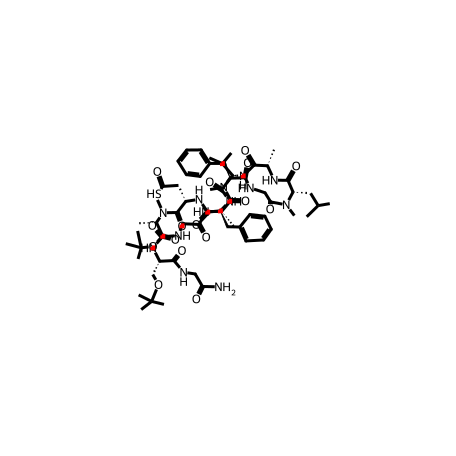 CC(C)C[C@@H](C(=O)N[C@@H](C)C(=O)N[C@H](C(=O)N[C@@H](Cc1ccccc1)C(=O)N[C@@H](CC(=O)S)C(=O)N(C)[C@@H](C)C(=O)N[C@@H](COC(C)(C)C)C(=O)NCC(N)=O)C(C)C)N(C)C(=O)CNC(=O)[C@H](Cc1ccccc1)N(C)C(=O)[C@H](C)NC(=O)CNC(=O)OC(C)(C)C